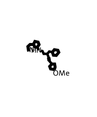 COc1ccc(C#CC(CCNc2cccc3cccnc23)Cc2ccccc2)cc1